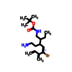 C=CC(=C)/C(Br)=C\C(CCN)C(CC)CNC(=O)OC(C)(C)C